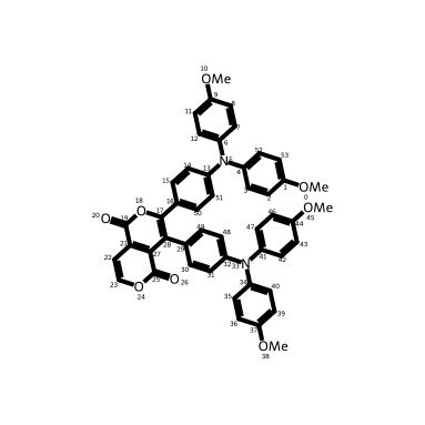 COc1ccc(N(c2ccc(OC)cc2)c2ccc(-c3oc(=O)c4ccoc(=O)c4c3-c3ccc(N(c4ccc(OC)cc4)c4ccc(OC)cc4)cc3)cc2)cc1